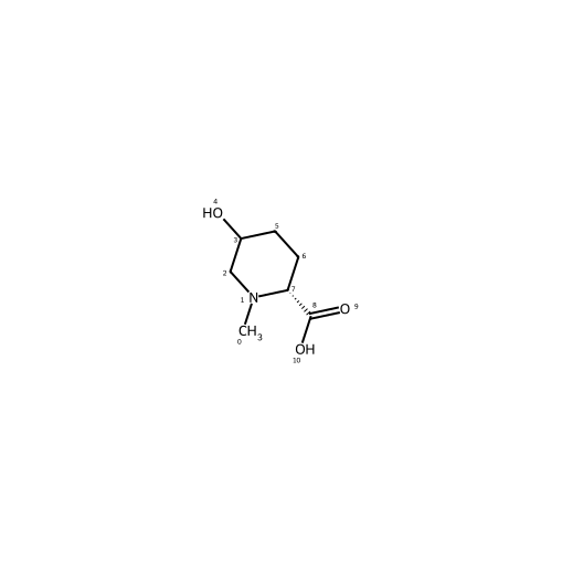 CN1CC(O)CC[C@@H]1C(=O)O